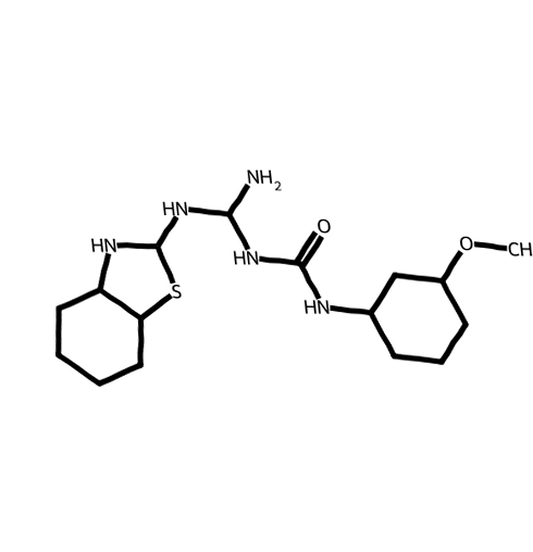 COC1CCCC(NC(=O)NC(N)NC2NC3CCCCC3S2)C1